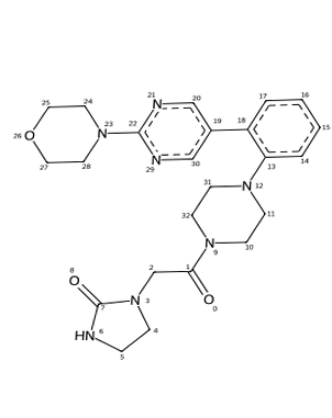 O=C(CN1CCNC1=O)N1CCN(c2ccccc2-c2cnc(N3CCOCC3)nc2)CC1